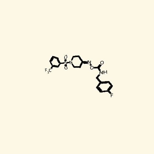 O=C(NCc1ccc(F)cc1)ON=C1CCN(S(=O)(=O)c2cccc(C(F)(F)F)c2)CC1